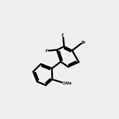 COc1ccccc1-c1ccc(Br)c(F)c1F